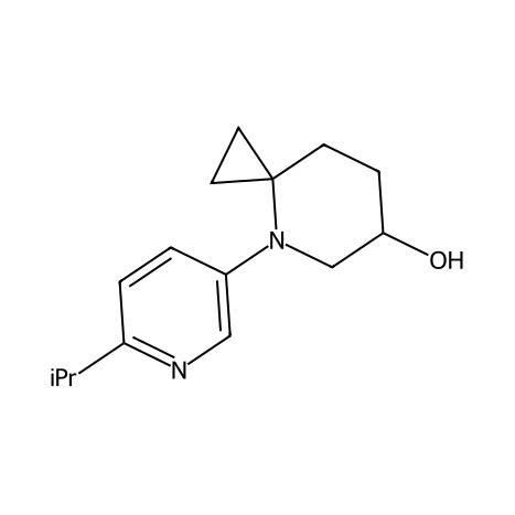 CC(C)c1ccc(N2CC(O)CCC23CC3)cn1